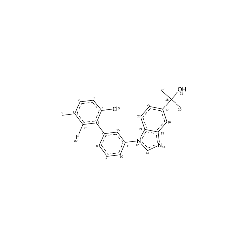 Cc1ccc(Cl)c(-c2cccc(-n3cnc4cc(C(C)(C)O)ccc43)c2)c1F